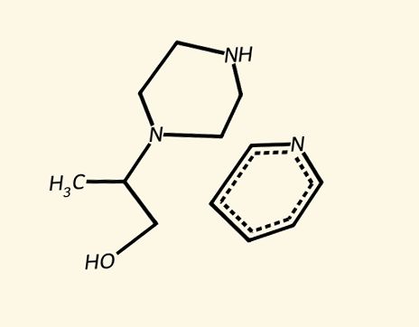 CC(CO)N1CCNCC1.c1ccncc1